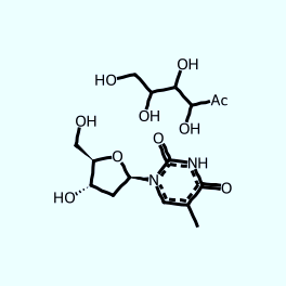 CC(=O)C(O)C(O)C(O)CO.Cc1cn([C@H]2C[C@H](O)[C@@H](CO)O2)c(=O)[nH]c1=O